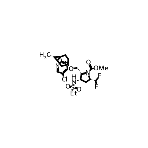 CCS(=O)(=O)N[C@H]1C[C@@H](C(F)F)N(C(=O)OC)[C@H]1CO[C@H]1CC[C@]2(c3ncc(Cl)cn3)C(C1)[C@@H]2C